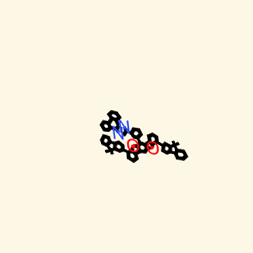 CC1(C)c2ccccc2-c2ccc(-c3cccc4c3oc3c(-c5cccc(-c6cnc7c8ccccc8c8ccccc8c7n6)c5)c5c(cc34)oc3c(-c4ccc6c(c4)C(C)(C)c4ccccc4-6)cccc35)cc21